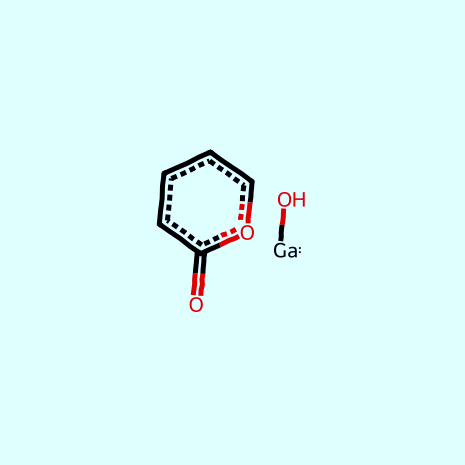 O=c1cccco1.[OH][Ga]